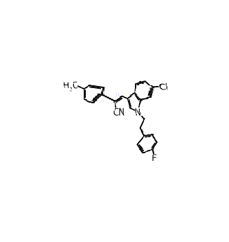 Cc1ccc(/C(C#N)=C/c2cn(CCc3ccc(F)cc3)c3cc(Cl)ccc23)cc1